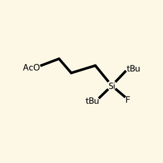 CC(=O)OCCC[Si](F)(C(C)(C)C)C(C)(C)C